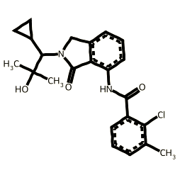 Cc1cccc(C(=O)Nc2cccc3c2C(=O)N(C(C2CC2)C(C)(C)O)C3)c1Cl